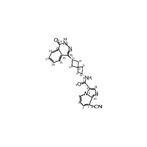 N#Cc1cccn2c(C(=O)N[C@H]3CC4(C3)C[C@H](c3n[nH]c(=O)c5ccccc53)C4)cnc12